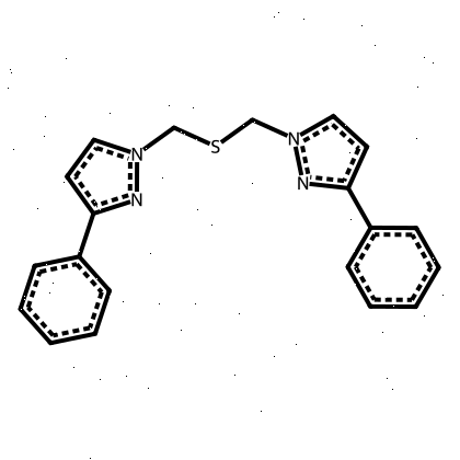 c1ccc(-c2ccn(CSCn3ccc(-c4ccccc4)n3)n2)cc1